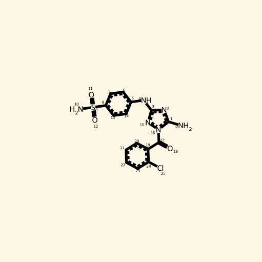 Nc1nc(Nc2ccc(S(N)(=O)=O)cc2)nn1C(=O)c1ccccc1Cl